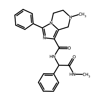 CNC(=O)C(NC(=O)c1nc(-c2ccccc2)n2c1CN(C)CC2)c1ccccc1